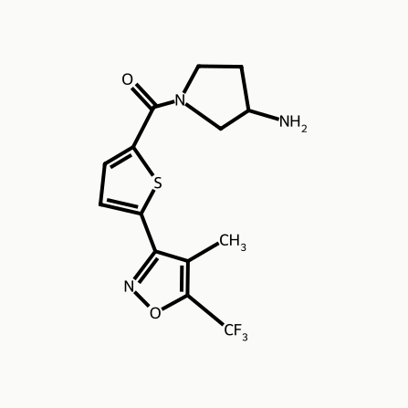 Cc1c(-c2ccc(C(=O)N3CCC(N)C3)s2)noc1C(F)(F)F